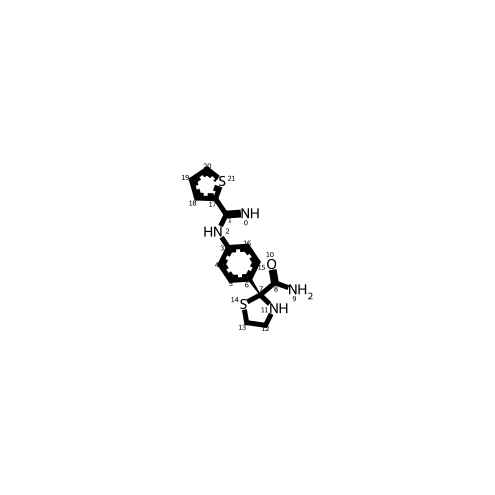 N=C(Nc1ccc([C@@]2(C(N)=O)NCCS2)cc1)c1cccs1